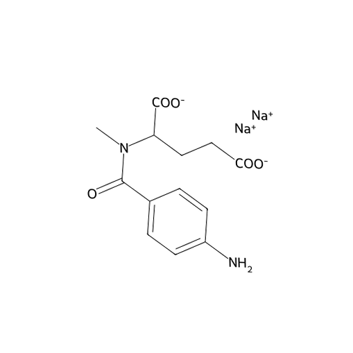 CN(C(=O)c1ccc(N)cc1)C(CCC(=O)[O-])C(=O)[O-].[Na+].[Na+]